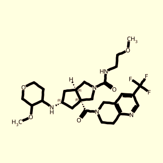 COCCNC(=O)N1C[C@@H]2C[C@@H](NC3CCOCC3OC)C[C@]2(C(=O)N2CCc3ncc(C(F)(F)F)cc3C2)C1